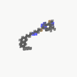 COc1ccc2c(c1)CC(CCCNCCCSc1nnc(-c3scnc3C)n1C)CC2